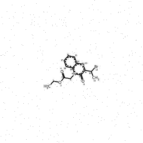 CCOC(=O)Cn1c(=O)c(C(C)Br)nc2ccccc21